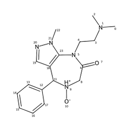 CN(C)CCN1C(=O)C[NH+]([O-])C(c2ccccc2)c2cnn(C)c21